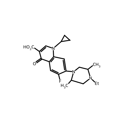 CCN1CC(C)N(c2cc3c(cc2F)c(=O)c(C(=O)O)cn3C2CC2)CC1C